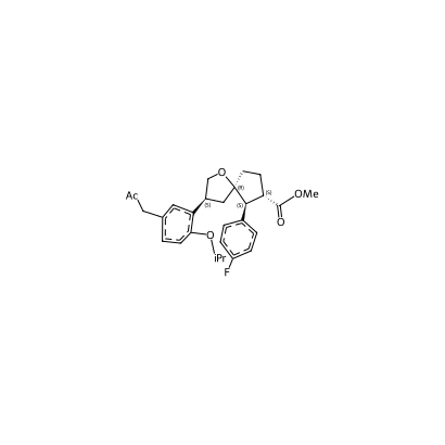 COC(=O)[C@H]1CC[C@@]2(C[C@@H](c3cc(CC(C)=O)ccc3OC(C)C)CO2)[C@@H]1c1ccc(F)cc1